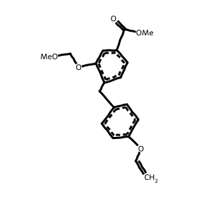 C=COc1ccc(Cc2ccc(C(=O)OC)cc2OCOC)cc1